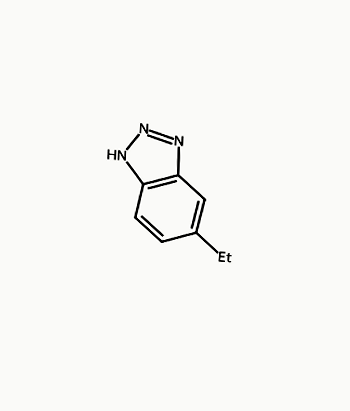 [CH2]Cc1ccc2[nH]nnc2c1